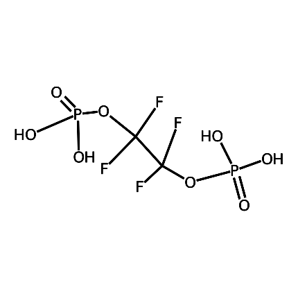 O=P(O)(O)OC(F)(F)C(F)(F)OP(=O)(O)O